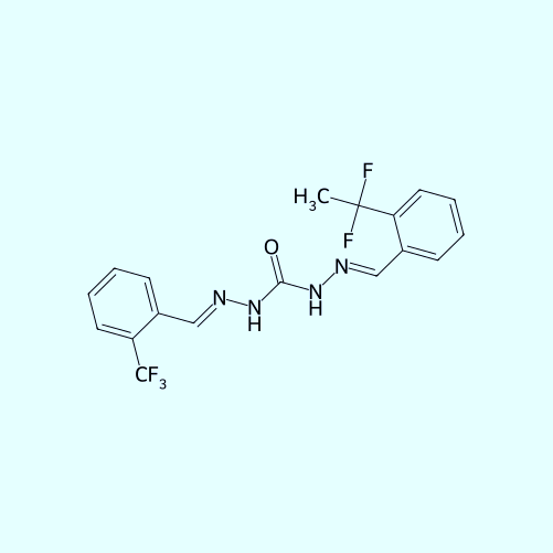 CC(F)(F)c1ccccc1/C=N/NC(=O)N/N=C/c1ccccc1C(F)(F)F